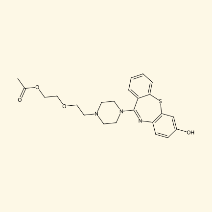 CC(=O)OCCOCCN1CCN(C2=Nc3ccc(O)cc3Sc3ccccc32)CC1